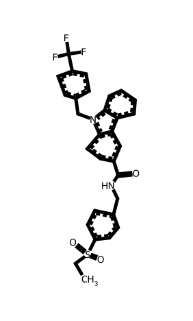 CCS(=O)(=O)c1ccc(CNC(=O)c2ccc3c(c2)c2ccccc2n3Cc2ccc(C(F)(F)F)cc2)cc1